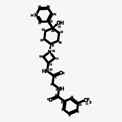 O=C(CNC(=O)c1cccc(C(F)(F)F)c1)NC1CN([C@H]2CC[C@@](O)(c3cccnc3)CC2)C1